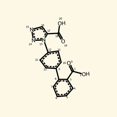 O=C(O)c1ccccc1-c1ccc(-n2nncc2C(=O)O)cc1